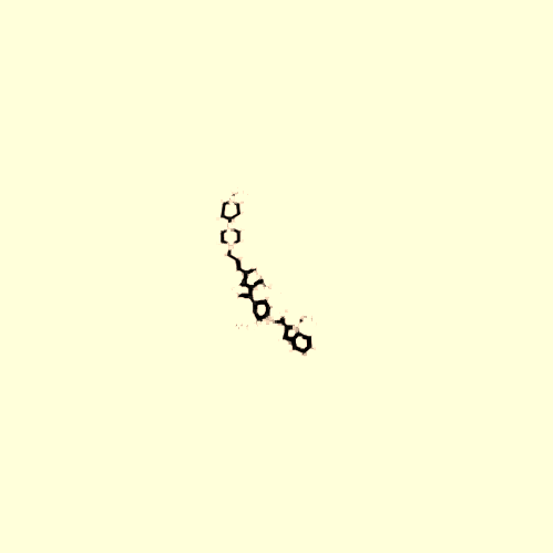 COc1cc(-c2csc3c(C=CCN4CCN(C5CCN(C)CC5)CC4)cnc(N)c23)ccc1NC(=O)c1cc2ccccc2n1C